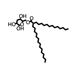 CCCCCCCCCCCCCCCC(CCCCCCCCCCCCC)C(=O)OCC1O[C@@H](O)C(O)C[C@@H]1O